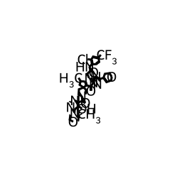 CC1CC2(CCN(C(=O)c3ncnc(N4CCOC[C@@H]4C)c3O)CC2)c2c1n(CC(=O)Nc1ccc(C(F)(F)F)cc1Cl)c1nc(C3=CCOCC3)nn1c2=O